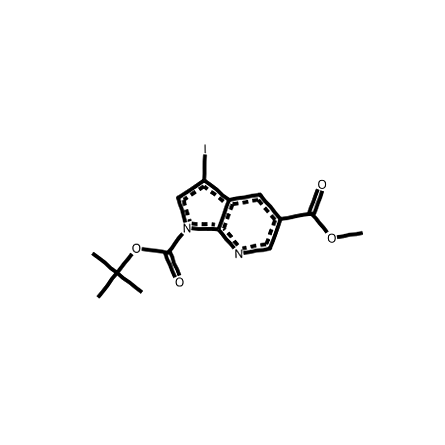 COC(=O)c1cnc2c(c1)c(I)cn2C(=O)OC(C)(C)C